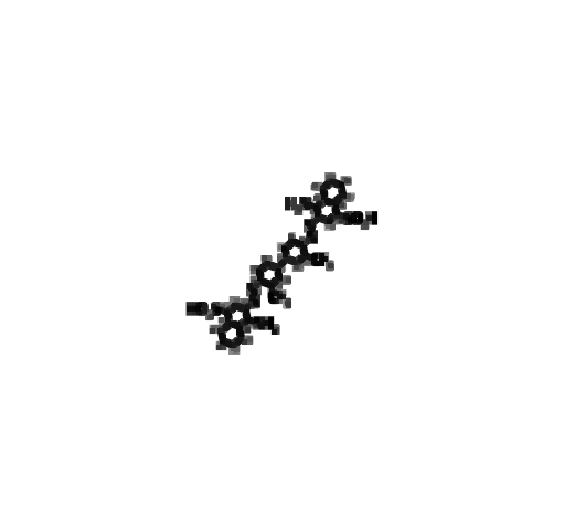 Nc1c(/N=N/c2ccc(-c3ccc(/N=N/c4cc(S(=O)(=O)O)c5ccccc5c4N)c(C(F)(F)F)c3)cc2C(F)(F)F)cc(S(=O)(=O)O)c2ccccc12